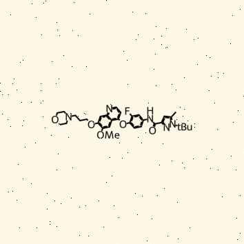 COc1cc2c(Oc3ccc(NC(=O)c4cc(C)n(C(C)(C)C)n4)cc3F)ccnc2cc1OCCCN1CCOCC1